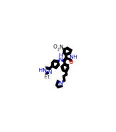 CCc1nc(-c2ccc(NC(=C3C(=O)Nc4ccc([N+](=O)[O-])cc43)c3ccc(CCCN4CCCC4)cc3)cc2)c[nH]1